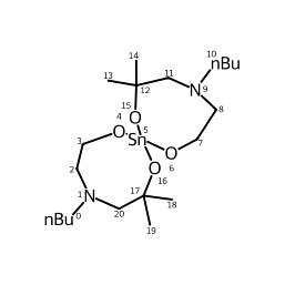 CCCCN1CC[O][Sn]2([O]CCN(CCCC)CC(C)(C)[O]2)[O]C(C)(C)C1